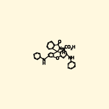 O=C(O)NN1C(=O)c2ccccc2C12c1ccc(Nc3ccccc3)cc1Oc1cc(Nc3ccccc3)ccc12